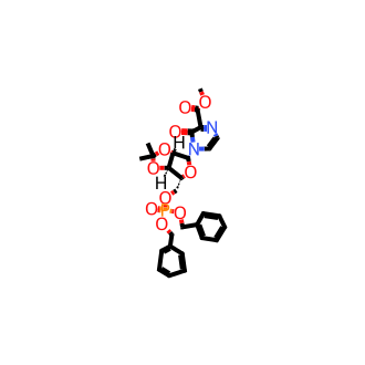 COC(=O)c1nccn([C@@H]2O[C@H](COP(=O)(OCc3ccccc3)OCc3ccccc3)[C@H]3OC(C)(C)O[C@@H]32)c1=O